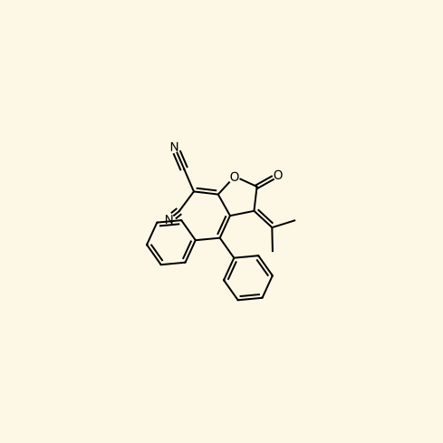 CC(C)=C1C(=O)OC(=C(C#N)C#N)C1=C(c1ccccc1)c1ccccc1